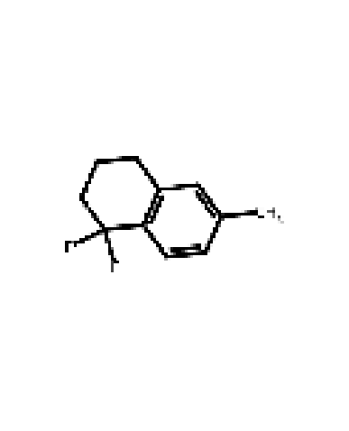 Cc1ccc2c(c1)CCCC2(F)F